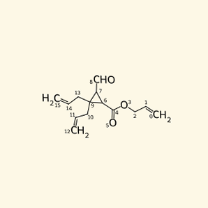 C=CCOC(=O)C1C(C=O)C1(CC=C)CC=C